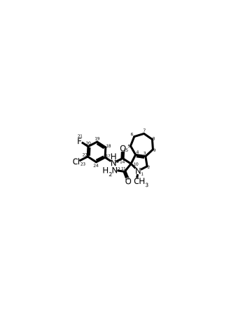 CN1CC2=C(CCCCC2)C1(C(N)=O)C(=O)Nc1ccc(F)c(Cl)c1